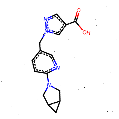 O=C(O)c1cnn(Cc2ccc(N3CC4CC4C3)nc2)c1